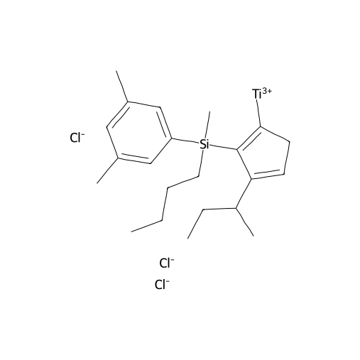 CCCC[Si](C)(C1=[C]([Ti+3])CC=C1C(C)CC)c1cc(C)cc(C)c1.[Cl-].[Cl-].[Cl-]